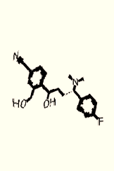 CN(C)[C@@H](CCC(O)c1ccc(C#N)cc1CO)c1ccc(F)cc1